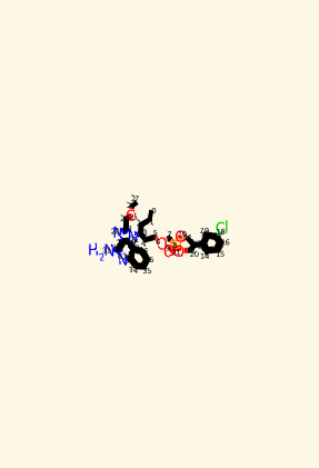 CCCC(CCOCP1(=O)OCC(c2cccc(Cl)c2)CO1)n1c(COCC)nc2c(N)nc3ccccc3c21